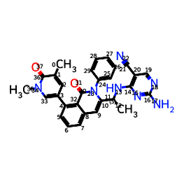 Cc1cc(-c2cccc3cc([C@H](C)Nc4nc(N)ncc4C#N)n(-c4ccccc4)c(=O)c23)cn(C)c1=O